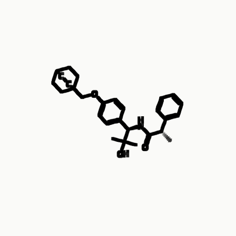 C[C@H](C(=O)N[C@H](c1ccc(OCC23CCC(CC2)CC3)cc1)C(C)(C)O)c1ccccc1